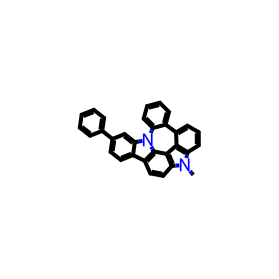 Cn1c2cccc3c4ccccc4n4c5cc(-c6ccccc6)ccc5c5ccc1c(c32)c54